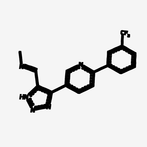 C/N=C/c1[nH]nnc1-c1ccc(-c2cccc(C(F)(F)F)c2)nc1